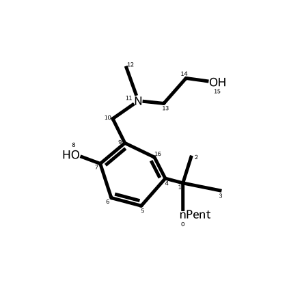 CCCCCC(C)(C)c1ccc(O)c(CN(C)CCO)c1